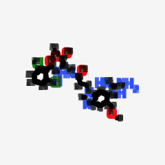 COCc1cc2ncn(CCC(=O)NC[C@H](NC(=O)c3c(Cl)cccc3Cl)C(=O)OC)c2cc1NC(=N)N